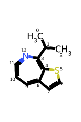 CC(C)C1=c2sccc2=CC=C=N1